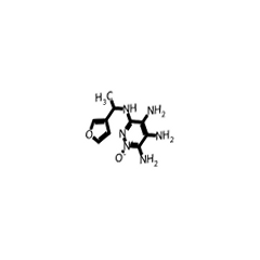 CC(Nc1n[n+]([O-])c(N)c(N)c1N)c1ccoc1